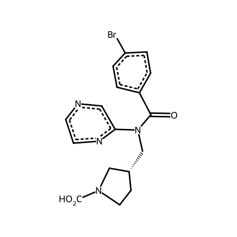 O=C(O)N1CC[C@@H](CN(C(=O)c2ccc(Br)cc2)c2cnccn2)C1